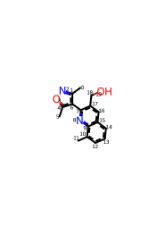 Cc1noc(C)c1-c1nc2c(C)cccc2cc1CO